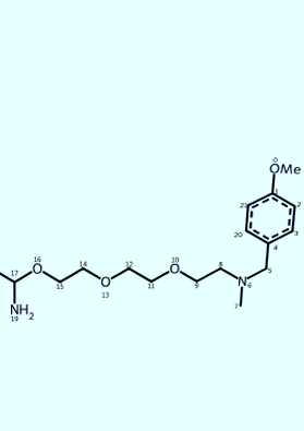 COc1ccc(CN(C)CCOCCOCCOC(C)N)cc1